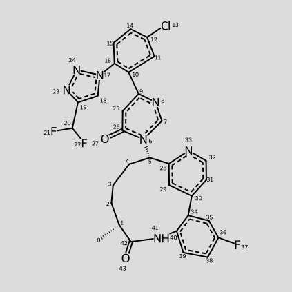 C[C@@H]1CCC[C@H](n2cnc(-c3cc(Cl)ccc3-n3cc(C(F)F)nn3)cc2=O)c2cc(ccn2)-c2cc(F)ccc2NC1=O